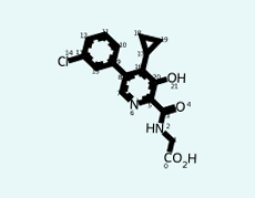 O=C(O)CNC(=O)c1ncc(-c2cccc(Cl)c2)c(C2CC2)c1O